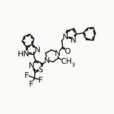 CC1CN(c2sc(C(F)(F)F)nc2-c2nc3ccccc3[nH]2)CCN1C(=O)Cn1ccc(-c2ccccc2)n1